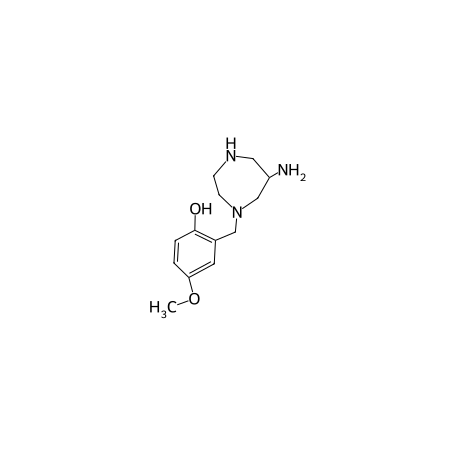 COc1ccc(O)c(CN2CCNCC(N)C2)c1